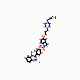 C#CCN1CCN(CCCOc2ccc3c(ccn3S(=O)(=O)c3ccc(C(=O)Nc4ccccc4N)cc3)c2)CC1